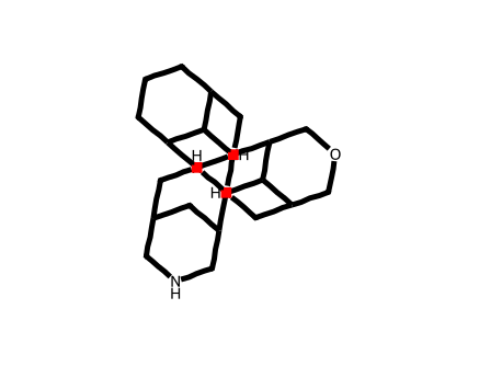 C1CC2CNCC(C1)C2C1NCC2COCC1C2C1NCC2CNCC1C2